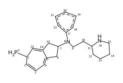 PC1C=CC=C2CC(N(CCC3CCCCN3)c3ccccc3)CC2=C1